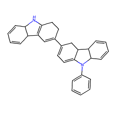 C1=CC2NC3=C(C=C(C4=CC=C5C(C4)C4C=CC=CC4N5c4ccccc4)CC3)C2C=C1